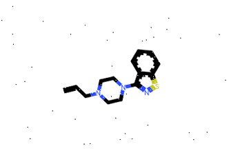 C=CCN1CCN(c2nsc3ccccc23)CC1